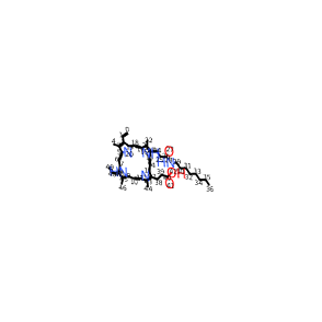 C=CC1=C(C)c2cc3[nH]c(cc4nc(cc5[nH]c(cc1n2)c(C)c5CCC(=O)NCCCCCCCC)C(CCC(=O)O)=C4C)c(C)c3C=C